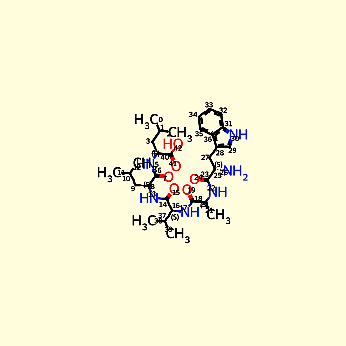 CC(C)C[C@H](NC(=O)[C@H](CC(C)C)NC(=O)[C@@H](NC(=O)[C@H](C)NC(=O)[C@@H](N)Cc1c[nH]c2ccccc12)C(C)C)C(=O)O